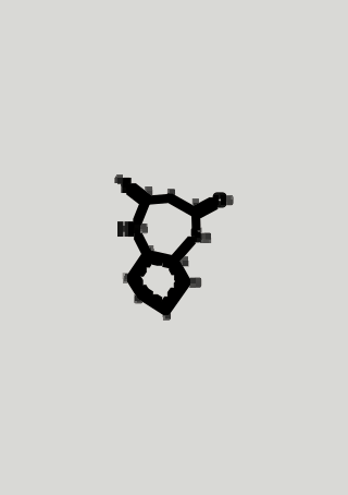 O=C1CC(=S)Nc2ccccc2S1